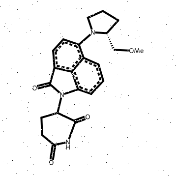 COC[C@H]1CCCN1c1ccc2c3c(cccc13)N(C1CCC(=O)NC1=O)C2=O